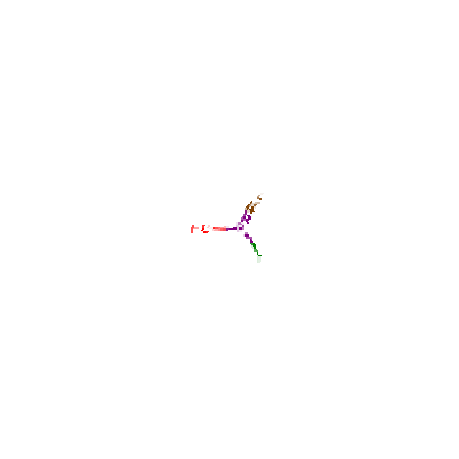 O[P](F)=S